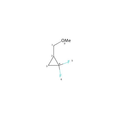 COCC1CC1(F)F